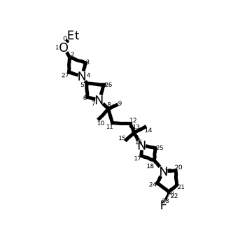 CCOC1CN(C2CN(C(C)(C)CCC(C)(C)N3CC(N4CC[C@@H](F)C4)C3)C2)C1